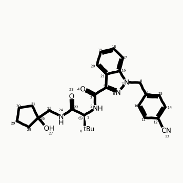 CC(C)(C)[C@H](NC(=O)c1nn(Cc2ccc(C#N)cc2)c2ccccc12)C(=O)NCC1(O)CCCC1